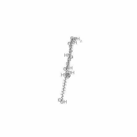 O=C(O)CCCCCCCCCCCCCCCCC(=O)N[C@@H](CCC(=O)NCCOCCOCC(=O)NCCOCCOCC(=O)NCC(=O)OP)C(=O)O